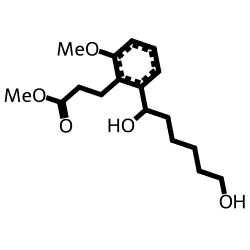 COC(=O)CCc1c(OC)cccc1C(O)CCCCCO